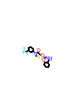 C[C@@H](NC(=O)OC1SCN(c2cccc(C(F)(F)F)c2)C1=O)c1ccccc1